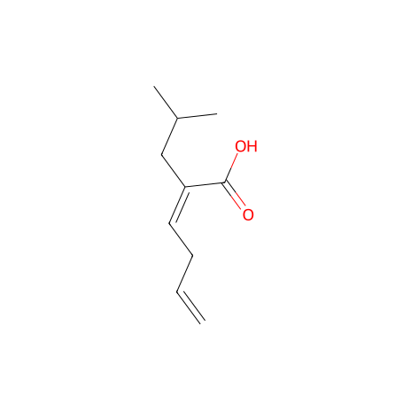 C=CC/C=C(/CC(C)C)C(=O)O